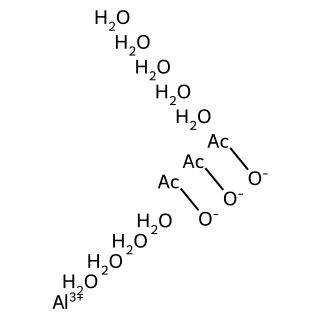 CC(=O)[O-].CC(=O)[O-].CC(=O)[O-].O.O.O.O.O.O.O.O.O.[Al+3]